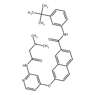 CN(C)CC(=O)Nc1cc(Oc2ccc3ccc(C(=O)Nc4cccc(C(C)(C)C)c4)cc3c2)ccn1